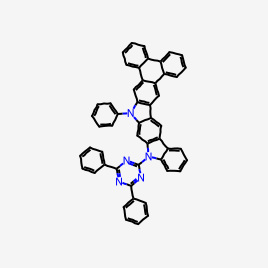 c1ccc(-c2nc(-c3ccccc3)nc(-n3c4ccccc4c4cc5c6cc7c8ccccc8c8ccccc8c7cc6n(-c6ccccc6)c5cc43)n2)cc1